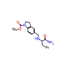 CC(C)CC(NCc1ccc2c(c1)CCN2C(=O)OC(C)(C)C)C(N)=O